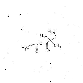 CCC(C)(C)C(=O)CC(=O)OC